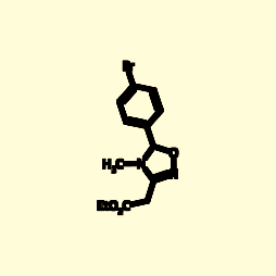 CCOC(=O)CC1=NOC(c2ccc(Br)cc2)N1C